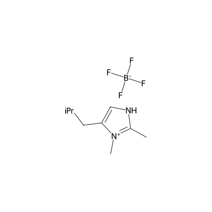 Cc1[nH]cc(CC(C)C)[n+]1C.F[B-](F)(F)F